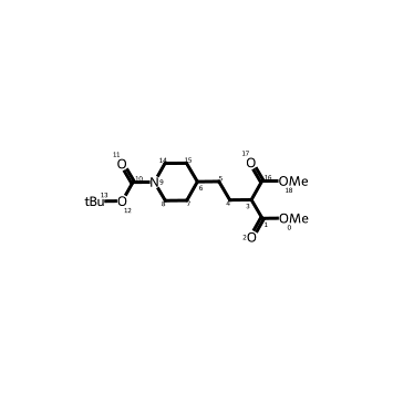 COC(=O)C(CCC1CCN(C(=O)OC(C)(C)C)CC1)C(=O)OC